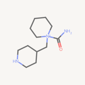 NC(=O)[N+]1(CC2CCNCC2)CCCCC1